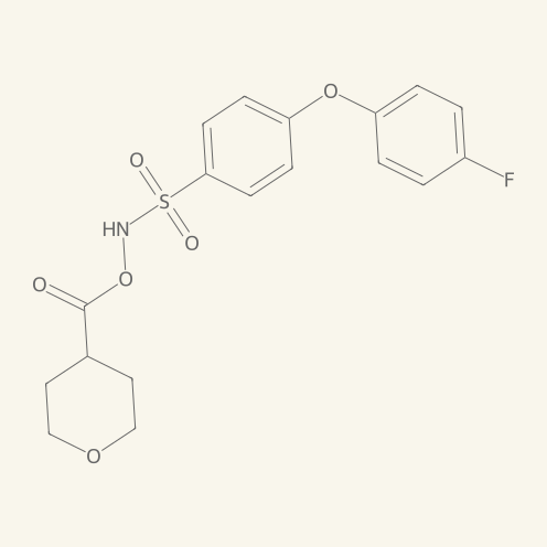 O=C(ONS(=O)(=O)c1ccc(Oc2ccc(F)cc2)cc1)C1CCOCC1